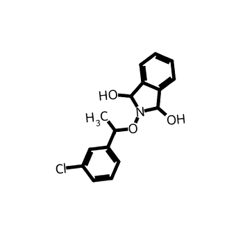 C[C](ON1C(O)c2ccccc2C1O)c1cccc(Cl)c1